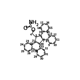 NC(=O)OCC1c2c(c3ccccc3c3ccccc23)-c2c1c1ccccc1c1ccccc21